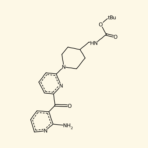 CC(C)(C)OC(=O)NCC1CCN(c2cccc(C(=O)c3cccnc3N)n2)CC1